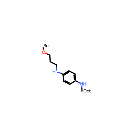 CCCCCCCCNc1ccc(NCCCOC(C)CC)cc1